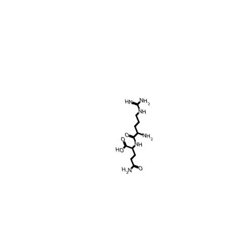 N=C(N)NCCCC(N)C(=O)NC(CCC(N)=O)C(=O)O